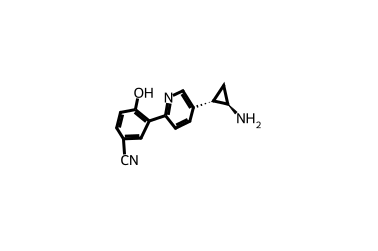 N#Cc1ccc(O)c(-c2ccc([C@@H]3C[C@H]3N)cn2)c1